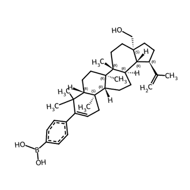 C=C(C)[C@@H]1CC[C@]2(CO)CC[C@]3(C)[C@H](CC[C@@H]4[C@@]5(C)CC=C(c6ccc(B(O)O)cc6)C(C)(C)[C@@H]5CC[C@]43C)[C@@H]12